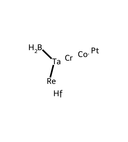 [BH2][Ta][Re].[Co].[Cr].[Hf].[Pt]